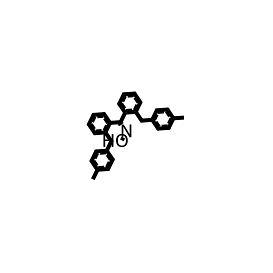 Cc1ccc(Cc2ccccc2C(=NO)c2ccccc2Cc2ccc(C)cc2)cc1